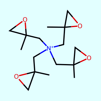 CC1(C[N+](CC2(C)CO2)(CC2(C)CO2)CC2(C)CO2)CO1